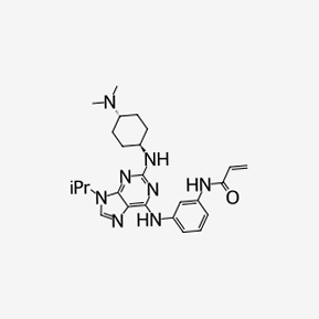 C=CC(=O)Nc1cccc(Nc2nc(N[C@H]3CC[C@H](N(C)C)CC3)nc3c2ncn3C(C)C)c1